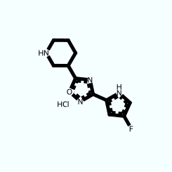 Cl.Fc1c[nH]c(-c2noc(C3CCCNC3)n2)c1